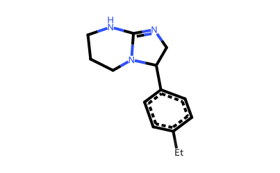 CCc1ccc(C2CN=C3NCCCN32)cc1